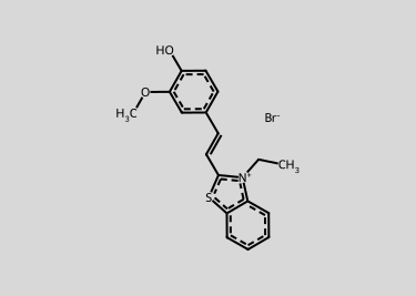 CC[n+]1c(/C=C/c2ccc(O)c(OC)c2)sc2ccccc21.[Br-]